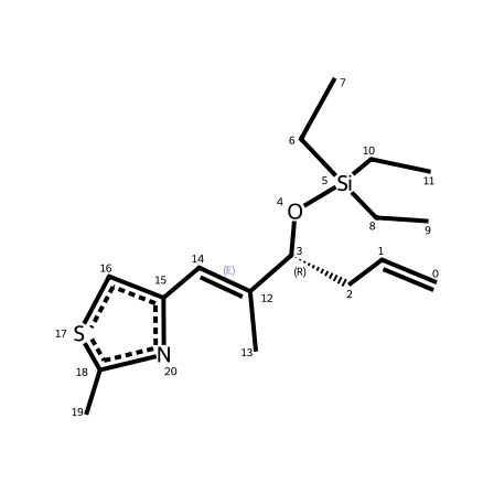 C=CC[C@@H](O[Si](CC)(CC)CC)/C(C)=C/c1csc(C)n1